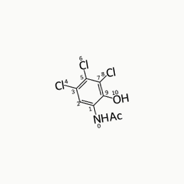 CC(=O)Nc1cc(Cl)c(Cl)c(Cl)c1O